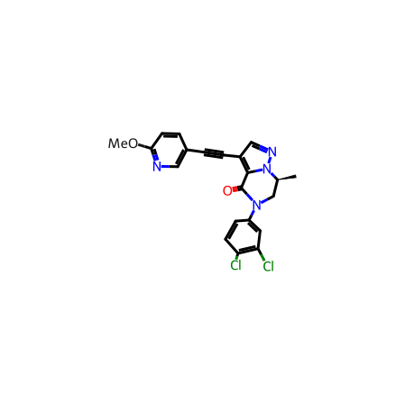 COc1ccc(C#Cc2cnn3c2C(=O)N(c2ccc(Cl)c(Cl)c2)C[C@@H]3C)cn1